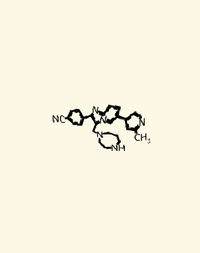 Cc1cc(-c2ccc3nc(-c4ccc(C#N)cc4)c(CN4CCCNCC4)n3c2)ccn1